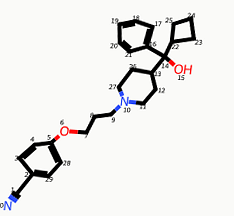 N#Cc1ccc(OCCCN2CCC(C(O)(c3ccccc3)C3CCC3)CC2)cc1